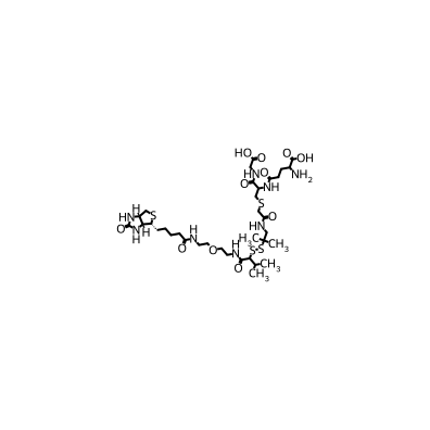 CC(C)C(SSC(C)(C)CNC(=O)CSCC(NC(=O)CCC(N)C(=O)O)C(=O)NCC(=O)O)C(=O)NCCOCCNC(=O)CCCC[C@H]1SC[C@H]2NC(=O)N[C@H]21